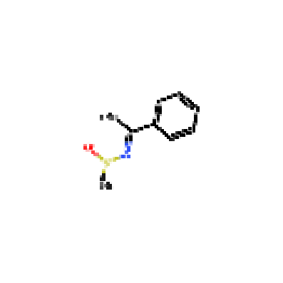 CCCCC(=N[S@+]([O-])C(C)(C)C)c1ccccc1